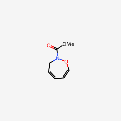 COC(=O)N1CC=CC=CO1